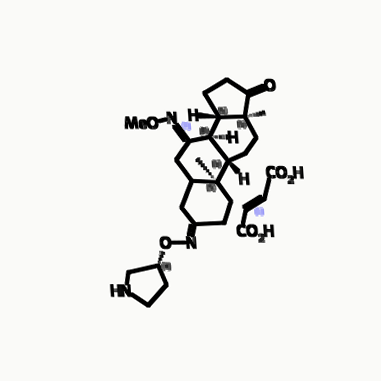 CO/N=C1\CC2CC(=NO[C@@H]3CCNC3)CC[C@]2(C)[C@H]2CC[C@]3(C)C(=O)CC[C@H]3[C@H]12.O=C(O)/C=C/C(=O)O